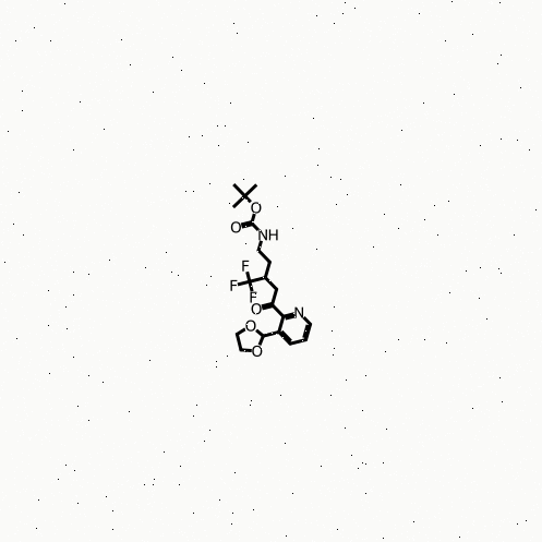 CC(C)(C)OC(=O)NCCC(CC(=O)c1ncccc1C1OCCO1)C(F)(F)F